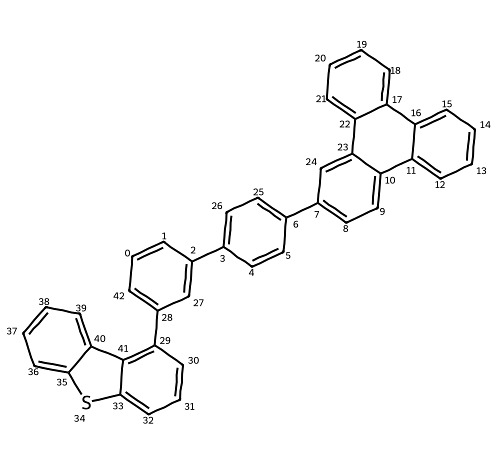 c1cc(-c2ccc(-c3ccc4c5ccccc5c5ccccc5c4c3)cc2)cc(-c2cccc3sc4ccccc4c23)c1